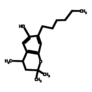 CCCCCCc1cc2c(cc1O)C(C)CC(C)(C)O2